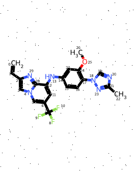 C=Cc1cn2cc(C(F)(F)F)cc(Nc3ccc(-n4cnc(C)n4)c(OC)c3)c2n1